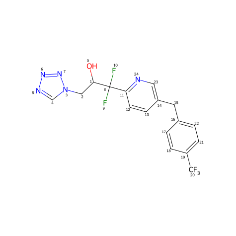 OC(Cn1cnnn1)C(F)(F)c1ccc(Cc2ccc(C(F)(F)F)cc2)cn1